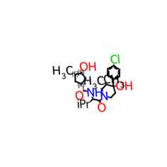 CC(C)C(NC(=O)[C@@H]1C[C@H](C)[C@@H](O)C1)C(=O)N1CCC(O)(c2ccc(Cl)cc2)C(C)(C)C1